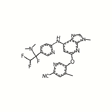 Cc1cc(C#N)ncc1Oc1cc(Nc2ccc(C(F)(C(F)F)N(C)C)cn2)c2ncn(C)c2n1